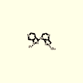 CC(C)n1nc(-[n+]2ccnc3cn(C(C)(C)C)nc32)c2ccncc21